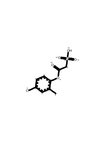 Cc1cc(Cl)ccc1OC(=O)CS(=O)(=O)O